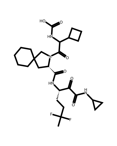 CC(F)(F)CC[C@H](NC(=O)[C@@H]1CC2(CCCCC2)CN1C(=O)C(NC(=O)O)C1CCC1)C(=O)C(=O)NC1CC1